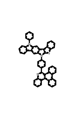 c1ccc(-n2c3ccccc3c3cc4c(cc32)c2c3ccccc3sc2n4-c2ccc(-c3nc4ccccc4c4c5ccccc5c5ccccc5c34)cc2)cc1